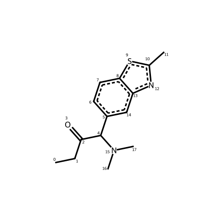 CCC(=O)C(c1ccc2sc(C)nc2c1)N(C)C